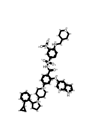 O=C(NS(=O)(=O)c1ccc(NCC2CCOCC2)c([N+](=O)[O-])c1)c1ccc(N2CCC(N3CCCC3c3ccccc3C3CC3)CC2)cc1Oc1cnc2[nH]ccc2c1